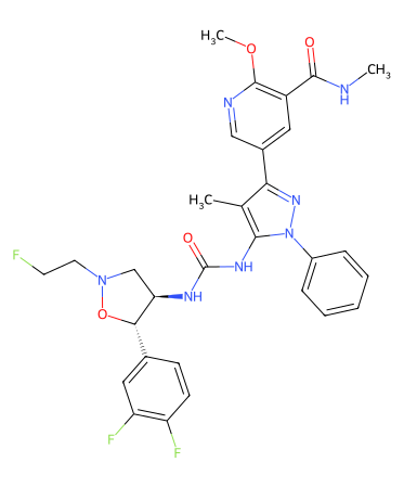 CNC(=O)c1cc(-c2nn(-c3ccccc3)c(NC(=O)N[C@@H]3CN(CCF)O[C@H]3c3ccc(F)c(F)c3)c2C)cnc1OC